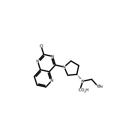 CC(C)(C)CN(C(=O)O)[C@H]1CCN(c2nc(Cl)nc3cccnc23)C1